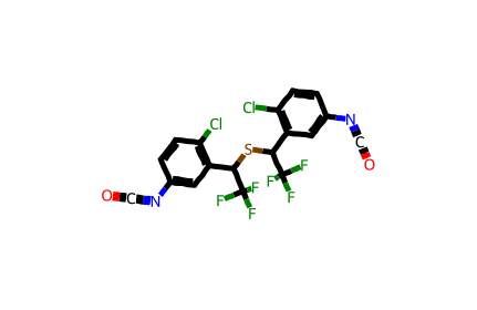 O=C=Nc1ccc(Cl)c(C(SC(c2cc(N=C=O)ccc2Cl)C(F)(F)F)C(F)(F)F)c1